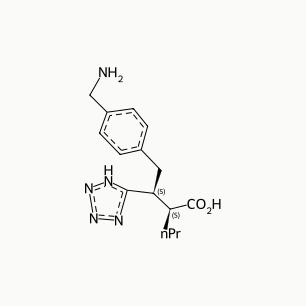 CCC[C@H](C(=O)O)[C@H](Cc1ccc(CN)cc1)c1nnn[nH]1